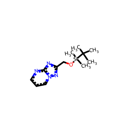 CC(C)(C)[Si](C)(C)OCc1nc2ncccn2n1